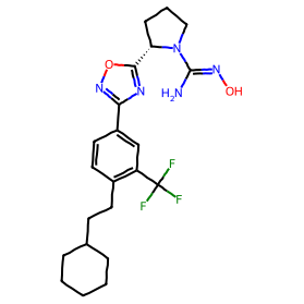 N/C(=N\O)N1CCC[C@H]1c1nc(-c2ccc(CCC3CCCCC3)c(C(F)(F)F)c2)no1